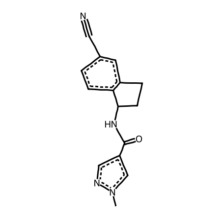 Cn1cc(C(=O)NC2CCc3cc(C#N)ccc32)cn1